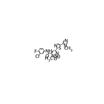 CN1C(C(=O)Nc2ccc(F)c(Cl)c2)=CC(c2ncc(-c3cncn3C)s2)=NS1(=O)=O